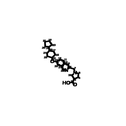 O=C(O)C1CCN(Cc2cc3ccc(OC4CCC(C5CCCC5)CC4)cc3cn2)C1